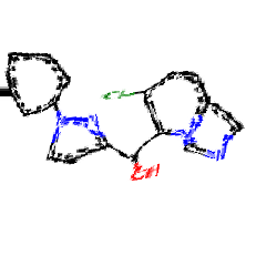 OC(c1ccn(-c2ccccc2)n1)c1c(Cl)ccc2cncn12